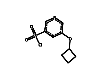 O=S(=O)(Cl)c1cncc(OC2CCC2)c1